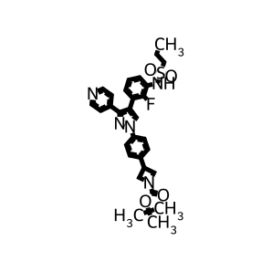 CCCS(=O)(=O)Nc1cccc(-c2cn(-c3ccc(C4CN(C(=O)OC(C)(C)C)C4)cc3)nc2-c2ccncc2)c1F